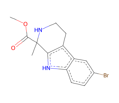 COC(=O)C1(C)NCCc2c1[nH]c1ccc(Br)cc21